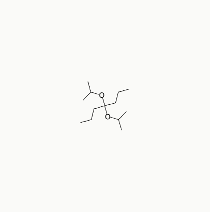 CCCC(CCC)(OC(C)C)OC(C)C